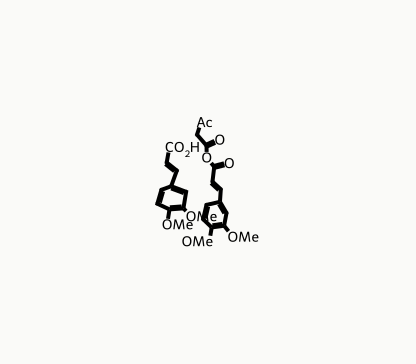 COc1ccc(/C=C/C(=O)O)cc1OC.COc1ccc(/C=C/C(=O)OC(=O)CC(C)=O)cc1OC